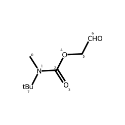 CN(C(=O)OCC=O)C(C)(C)C